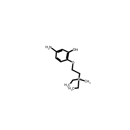 CC[N+](C)(CC)CCOc1ccc(N)cc1O